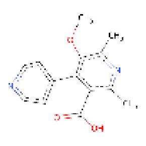 COc1c(C)nc(C)c(C(=O)O)c1-c1ccncc1